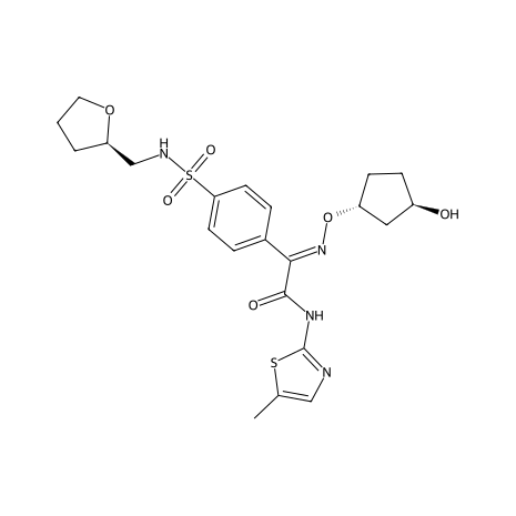 Cc1cnc(NC(=O)/C(=N/O[C@@H]2CC[C@@H](O)C2)c2ccc(S(=O)(=O)NC[C@H]3CCCO3)cc2)s1